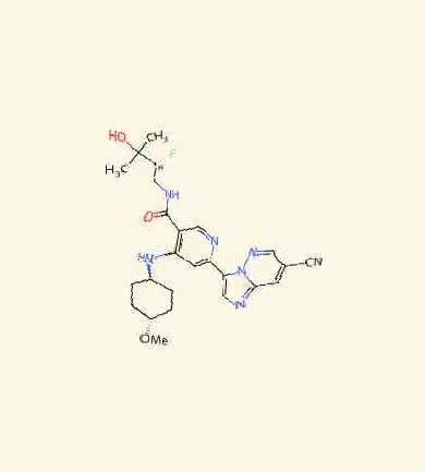 CO[C@H]1CC[C@H](Nc2cc(-c3cnc4cc(C#N)cnn34)ncc2C(=O)NC[C@@H](F)C(C)(C)O)CC1